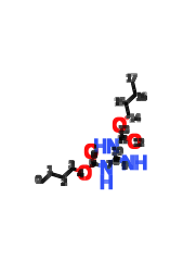 CCCCOC(=O)NC(=N)NC(=O)OCCCC